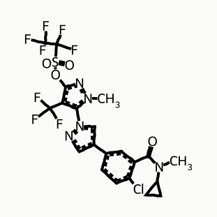 CN(C(=O)c1cc(-c2cnn(-c3c(C(F)(F)F)c(OS(=O)(=O)C(F)(F)C(F)(F)F)nn3C)c2)ccc1Cl)C1CC1